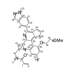 C=CC(=O)N(C)CC12CC(c3nc(-c4ccc5c(cnn5C)c4)c4ccsc4c3-c3c(F)cc(F)cc3OCCOC)(C1)C2